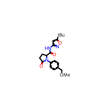 COCc1ccc(N2C(=O)CCC2C(=O)Nc2cc(C(C)(C)C)on2)cc1